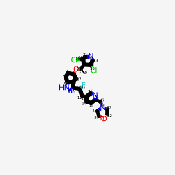 C[C@@H](Oc1ccc2[nH]nc(/C(F)=C/c3ccc(CN4CCOCC4)nc3)c2c1)c1c(Cl)cncc1Cl